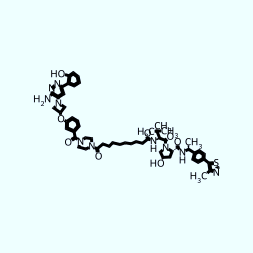 Cc1ncsc1-c1ccc([C@H](C)NC(=O)[C@@H]2C[C@@H](O)CN2C(=O)[C@@H](NC(=O)CCCCCCCCC(=O)N2CCN(C(=O)c3cccc(OC4CN(c5cc(-c6ccccc6O)nnc5N)C4)c3)CC2)C(C)(C)C)cc1